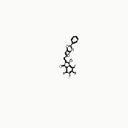 O=C1C(=Cc2cc3oc(-c4ccccc4)nc3o2)C(=O)c2c(F)c(F)c(F)c(F)c21